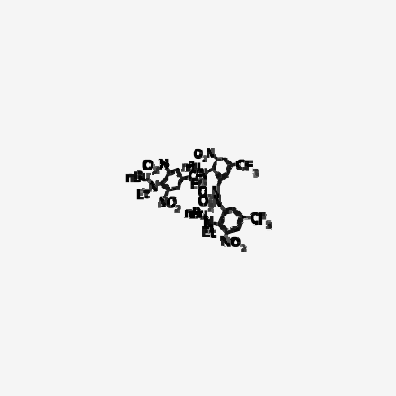 CCCCN(CC)c1c([N+](=O)[O-])cc(C(F)(F)F)cc1[N+](=O)[O-].CCCCN(CC)c1c([N+](=O)[O-])cc(C(F)(F)F)cc1[N+](=O)[O-].CCCCN(CC)c1c([N+](=O)[O-])cc(C(F)(F)F)cc1[N+](=O)[O-]